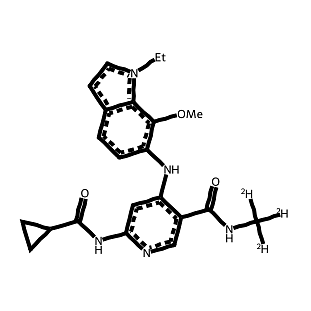 [2H]C([2H])([2H])NC(=O)c1cnc(NC(=O)C2CC2)cc1Nc1ccc2ccn(CC)c2c1OC